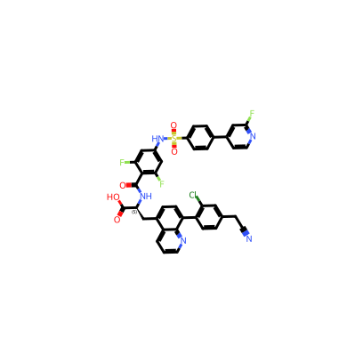 N#CCc1ccc(-c2ccc(C[C@H](NC(=O)c3c(F)cc(NS(=O)(=O)c4ccc(-c5ccnc(F)c5)cc4)cc3F)C(=O)O)c3cccnc23)c(Cl)c1